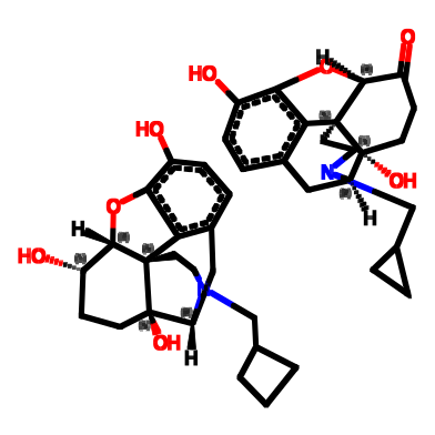 O=C1CC[C@@]2(O)[C@H]3Cc4ccc(O)c5c4[C@@]2(CCN3CC2CC2)[C@H]1O5.Oc1ccc2c3c1O[C@H]1[C@@H](O)CC[C@@]4(O)[C@@H](C2)N(CC2CCC2)CC[C@]314